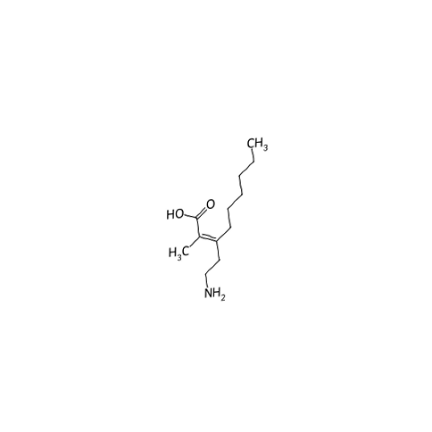 CCCCCCC(CCN)=C(C)C(=O)O